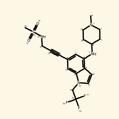 CN1CCC(Nc2cc(C#CCNS(C)(=O)=O)cc3c2ccn3CC(F)(F)F)CC1